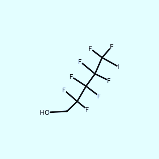 OCC(F)(F)C(F)(F)C(F)(F)C(F)(F)I